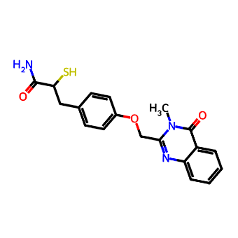 Cn1c(COc2ccc(CC(S)C(N)=O)cc2)nc2ccccc2c1=O